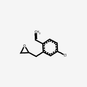 C=Cc1ccc(Cl)cc1CC1CO1